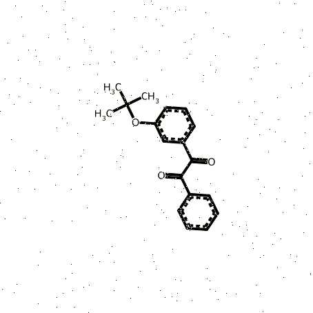 CC(C)(C)Oc1cccc(C(=O)C(=O)c2ccccc2)c1